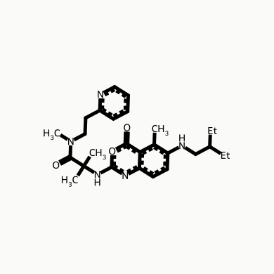 CCC(CC)CNc1ccc2nc(NC(C)(C)C(=O)N(C)CCc3ccccn3)oc(=O)c2c1C